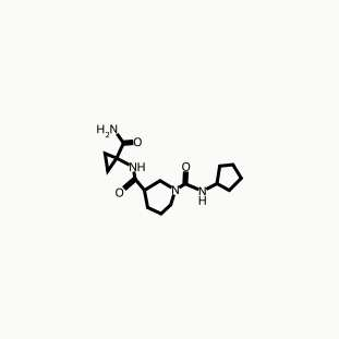 NC(=O)C1(NC(=O)C2CCCN(C(=O)NC3CCCC3)C2)CC1